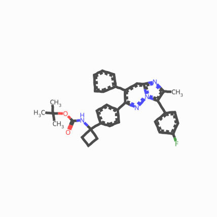 Cc1nc2cc(-c3ccccc3)c(-c3ccc(C4(NC(=O)OC(C)(C)C)CCC4)cc3)nn2c1-c1ccc(F)cc1